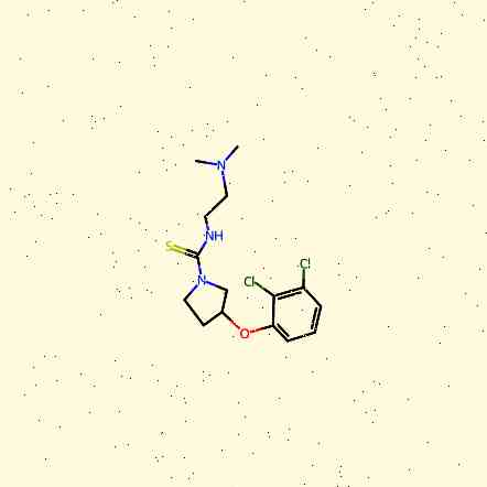 CN(C)CCNC(=S)N1CCC(Oc2cccc(Cl)c2Cl)C1